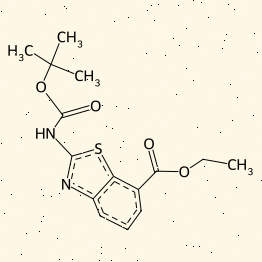 CCOC(=O)c1cccc2nc(NC(=O)OC(C)(C)C)sc12